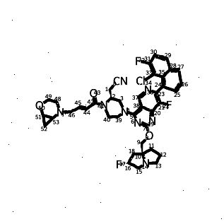 N#CC[C@H]1CN(c2nc(OC[C@@]34CCCN3C[C@H](F)C4)nc3c(F)c(-c4cccc5ccc(F)c(Cl)c45)ncc23)CCN1C(=O)/C=C/CN1CCOC2CC21